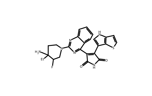 CCC1(N)CCN(c2nc(C3=C(c4c[nH]c5ccsc45)C(=O)NC3=O)c3ccccc3n2)CC1F